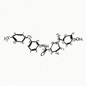 Cc1ccc(Oc2cccc(NC(=O)C3CCCN(C(=O)c4ccc(O)cc4)C3)c2)cc1